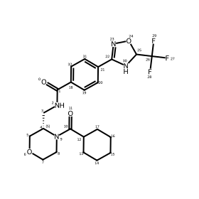 O=C(NC[C@H]1COCCN1C(=O)C1CCCCC1)c1ccc(C2=NOC(C(F)(F)F)N2)cc1